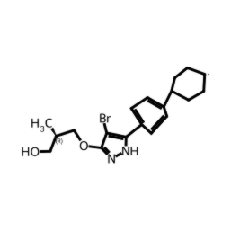 C[C@H](CO)COc1n[nH]c(-c2ccc(C3CC[CH]CC3)cc2)c1Br